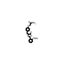 COc1ccccc1C1=N/C(=C/c2ccc(OCC(N)=O)cc2)C(=O)O1